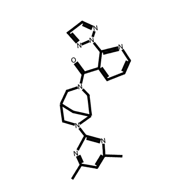 Cc1cc(C)nc(N2CC3CC2CN(C(=O)c2cccnc2-n2nccn2)C3)n1